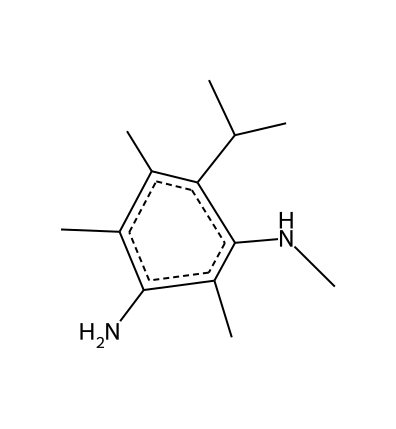 CNc1c(C)c(N)c(C)c(C)c1C(C)C